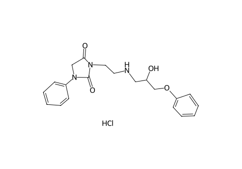 Cl.O=C1CN(c2ccccc2)C(=O)N1CCNCC(O)COc1ccccc1